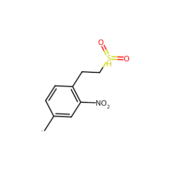 [CH2]c1ccc(CC[SH](=O)=O)c([N+](=O)[O-])c1